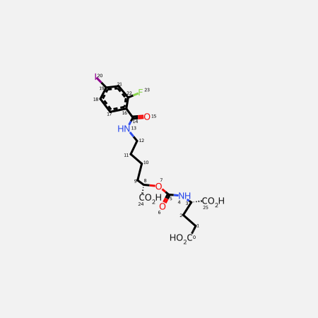 O=C(O)CC[C@H](NC(=O)O[C@@H](CCCCNC(=O)c1ccc(I)cc1F)C(=O)O)C(=O)O